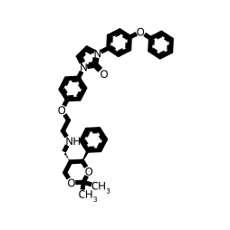 CC1(C)OC[C@H](CNCCOc2ccc(-n3ccn(-c4ccc(Oc5ccccc5)cc4)c3=O)cc2)[C@@H](c2ccccc2)O1